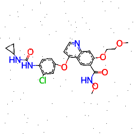 COCCOc1cc2nccc(Oc3ccc(NC(=O)NC4CC4)c(Cl)c3)c2cc1C(=O)NOC